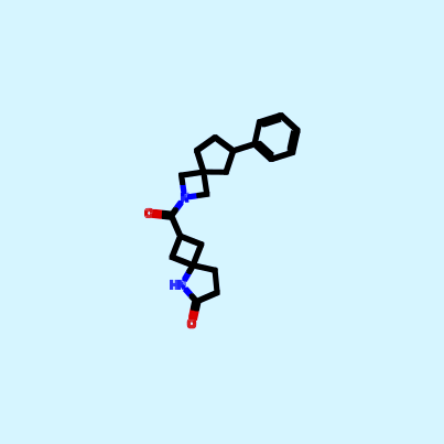 O=C1CCC2(CC(C(=O)N3CC4(CCC(c5ccccc5)C4)C3)C2)N1